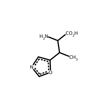 CC(c1cnco1)C(N)C(=O)O